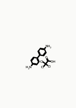 Nc1ccc(-c2ccc(N)cc2)cc1.O=C(O)C(Cl)(Cl)Cl